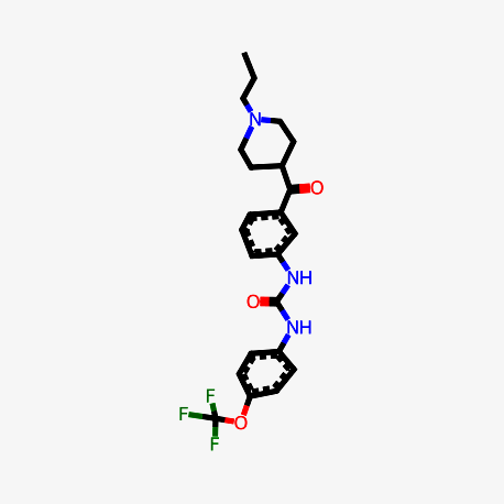 CCCN1CCC(C(=O)c2cccc(NC(=O)Nc3ccc(OC(F)(F)F)cc3)c2)CC1